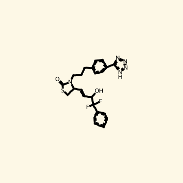 O=C1SCC(/C=C/C(O)C(F)(F)c2ccccc2)N1CCCc1ccc(-c2nnn[nH]2)cc1